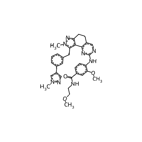 COCCNC(=O)c1ccc(Nc2ncc3c(n2)-c2c(nn(C)c2Cc2cccc(-c4cnn(C)c4)c2)CC3)c(OC)c1